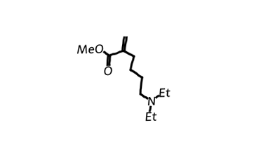 C=C(CCCCN(CC)CC)C(=O)OC